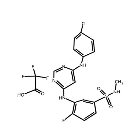 CNS(=O)(=O)c1ccc(F)c(Nc2cc(Nc3ccc(Cl)cc3)ncn2)c1.O=C(O)C(F)(F)F